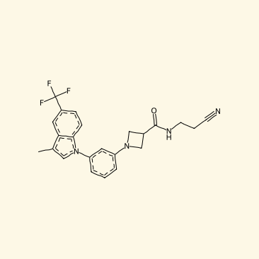 Cc1cn(-c2cccc(N3CC(C(=O)NCCC#N)C3)c2)c2ccc(C(F)(F)F)cc12